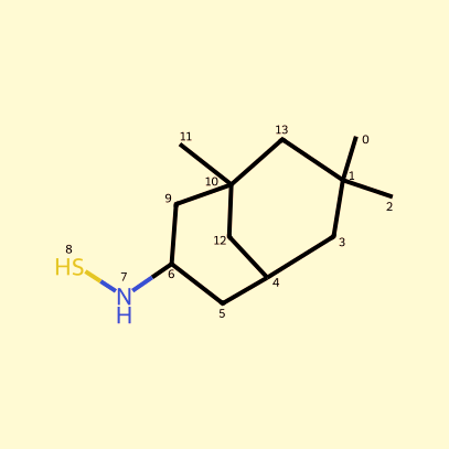 CC1(C)CC2CC(NS)CC(C)(C2)C1